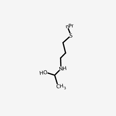 CCCSCCCNC(C)O